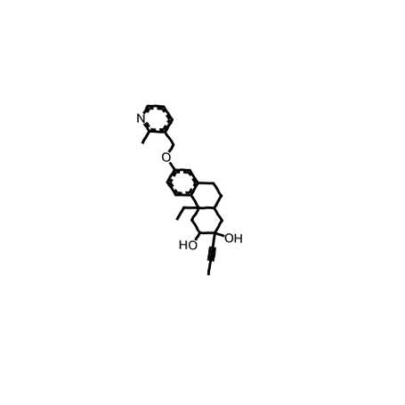 CC#CC1(O)CC2CCc3cc(OCc4cccnc4C)ccc3C2(CC)CC1O